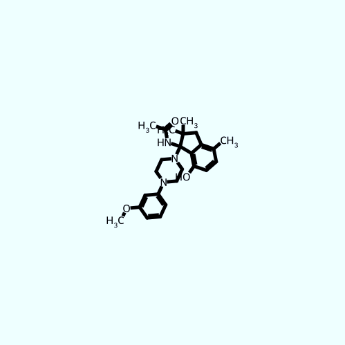 COc1cccc(N2CCN(C3(NC(C)=O)c4c(O)ccc(C)c4CC3(C)C)CC2)c1